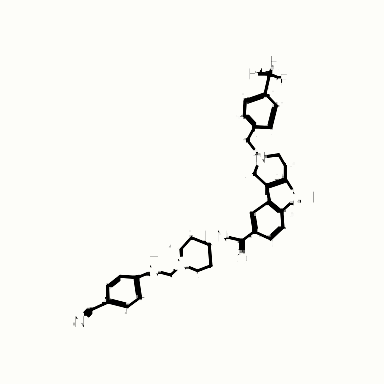 N#Cc1ccc(NCN2CCC(NC(=O)c3ccc4[nH]c5c(c4c3)CN(Cc3ccc(C(F)(F)F)cc3)CC5)CC2)cc1